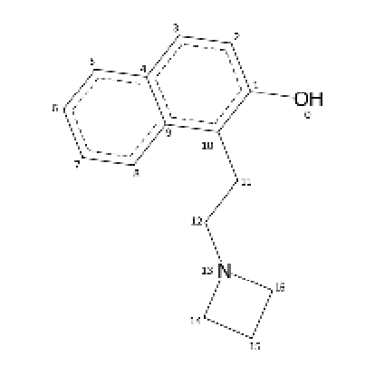 Oc1ccc2ccccc2c1CCN1CCC1